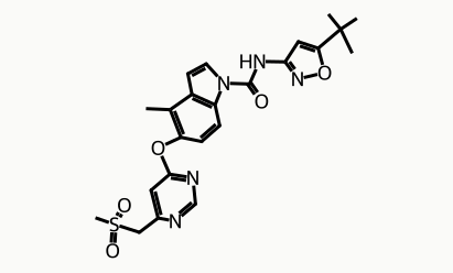 Cc1c(Oc2cc(CS(C)(=O)=O)ncn2)ccc2c1ccn2C(=O)Nc1cc(C(C)(C)C)on1